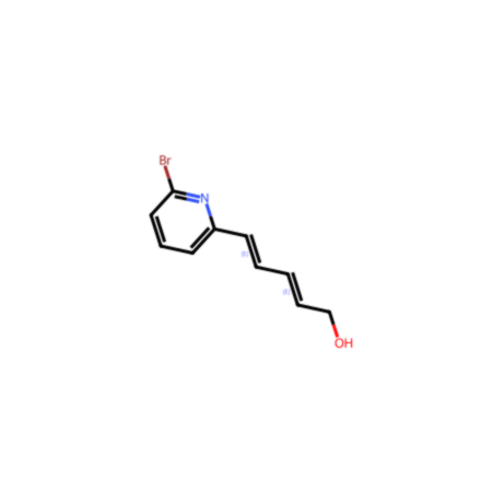 OC/C=C/C=C/c1cccc(Br)n1